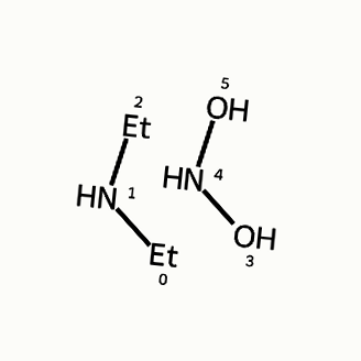 CCNCC.ONO